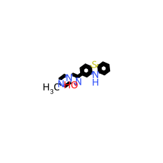 CN1CCN(CC(=NO)c2ccc3c(c2)Nc2ccccc2S3)CC1